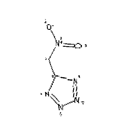 O=[N+]([O-])CC1N=NN=N1